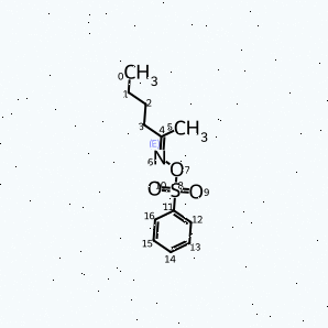 CCCC/C(C)=N/OS(=O)(=O)c1ccccc1